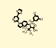 CC(C)(C)C(C(=O)O)N(c1ccc2c(ccn2-c2cc(-c3nccs3)cnn2)c1)S(=O)(=O)c1cc(Cl)cc(Cl)c1